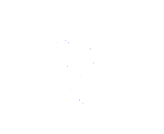 CCN(CC)C(CCCN)CC(=O)O